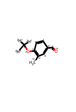 [2H]C([2H])([2H])Oc1ccc(C=O)cc1C